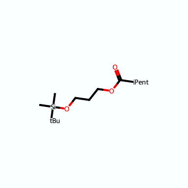 CCCC(C)C(=O)OCCCO[Si](C)(C)C(C)(C)C